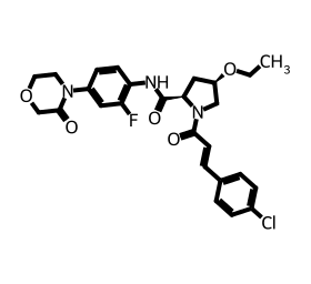 CCO[C@@H]1C[C@H](C(=O)Nc2ccc(N3CCOCC3=O)cc2F)N(C(=O)C=Cc2ccc(Cl)cc2)C1